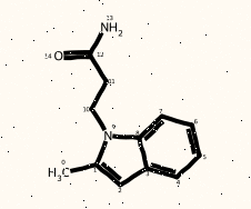 Cc1cc2ccccc2n1CCC(N)=O